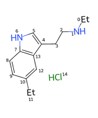 CCNCCc1c[nH]c2ccc(CC)cc12.Cl